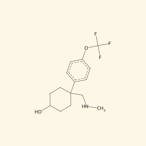 CNCC1(c2ccc(OC(F)(F)F)cc2)CCC(O)CC1